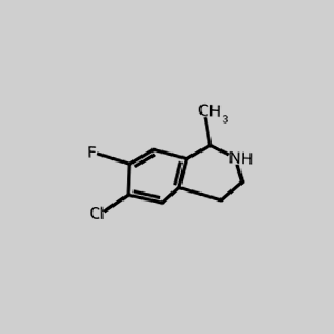 CC1NCCc2cc(Cl)c(F)cc21